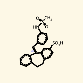 CS(=O)(=O)Nc1cccc(/C=C2/c3ccccc3CCc3ccc(S(=O)(=O)O)cc32)c1